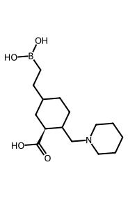 O=C(O)[C@H]1CC(CCB(O)O)CCC1CN1CCCCC1